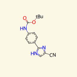 CC(C)(C)OC(=O)Nc1ccc(-c2nc(C#N)c[nH]2)cc1